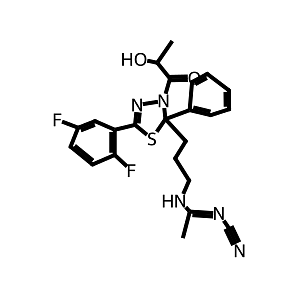 CC(=NC#N)NCCCC1(c2ccccc2)SC(c2cc(F)ccc2F)=NN1C(=O)C(C)O